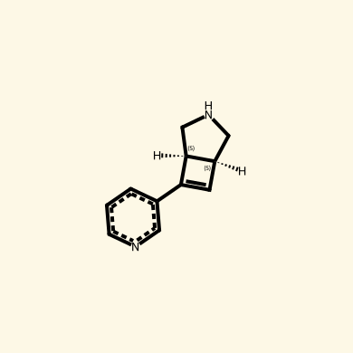 C1=C(c2cccnc2)[C@H]2CNC[C@@H]12